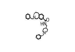 O=C(NCC1CCN(Cc2ccccc2)CC1)c1ccc2c(c1)CN(Cc1ccccc1)CCC2